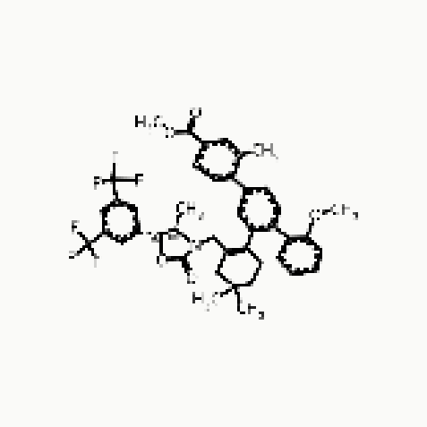 COC(=O)c1ccc(-c2ccc(-c3ccccc3OC)c(C3=C(CN4C(=O)O[C@H](c5cc(C(F)(F)F)cc(C(F)(F)F)c5)[C@H]4C)CC(C)(C)CC3)c2)c(C)c1